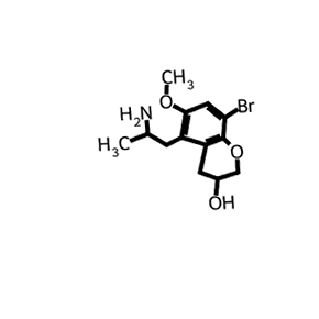 COc1cc(Br)c2c(c1CC(C)N)CC(O)CO2